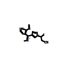 C=Nc1[nH]ccc1/C(=N\C)c1cnn(C(I)CC#N)c1